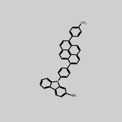 Cc1ccc(-c2ccc3ccc4c(-c5ccc(-n6c7ccccc7c7ccc(C(C)(C)C)cc76)cc5)ccc5ccc2c3c54)cc1